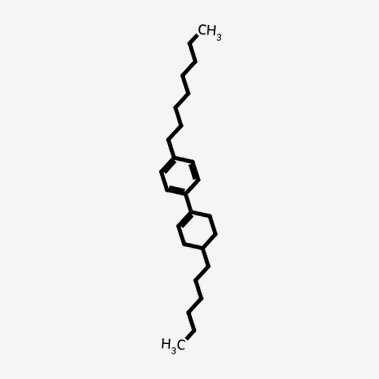 CCCCCCCCc1ccc(C2=CCC(CCCCCC)CC2)cc1